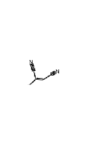 [CH2]C(C#N)=CC#N